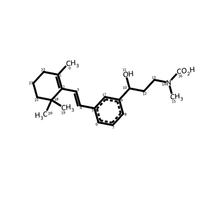 CC1=C(C=Cc2cccc(C(O)CCN(C)C(=O)O)c2)C(C)(C)CCC1